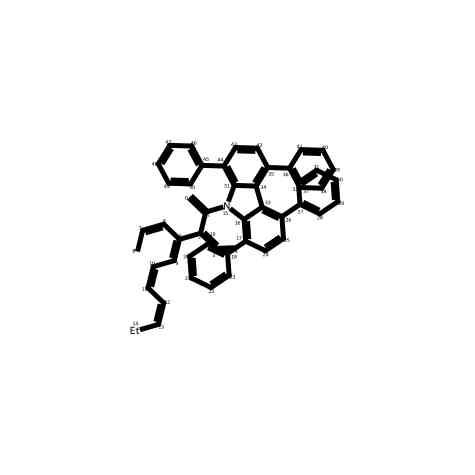 C=C(C(=C\C)/C(/C=C\C)=C/C=C\C=C/CC)n1c2c(-c3ccccc3)ccc(-c3ccccc3)c2c2c(-c3ccccc3)ccc(-c3ccccc3)c21